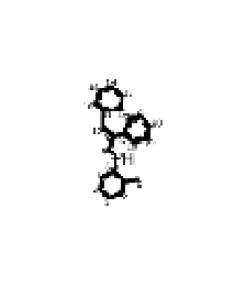 Cc1ccccc1PC/C(=C/c1ccccc1)c1ccccc1